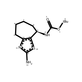 CC(C)(C)OC(=O)N[C@@H]1CCCCc2nc(N)sc21